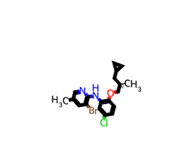 Cc1cnc(Nc2cc(Cl)ccc2OC[C@@H](C)CC2CC2)c(Br)c1